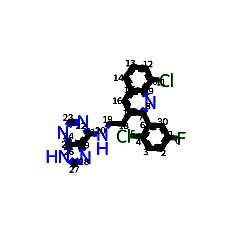 Fc1ccc(Cl)c(-c2nc3c(Cl)cccc3cc2CCNc2ncnc3[nH]cnc23)c1